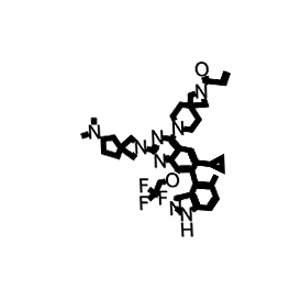 C=CC(=O)N1CC2(CCN(c3nc(N4CC5(CC[C@H](N(C)C)C5)C4)nc4c(OCC(F)(F)F)c(-c5c(C)ccc6[nH]ncc56)c(C5CC5)cc34)CC2)C1